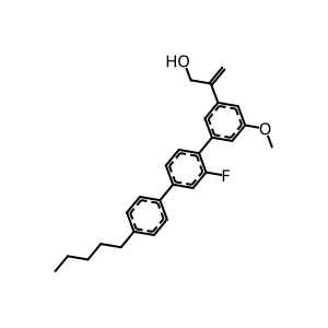 C=C(CO)c1cc(OC)cc(-c2ccc(-c3ccc(CCCCC)cc3)cc2F)c1